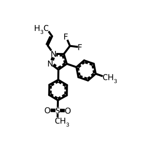 CC=Cn1nc(-c2ccc(S(C)(=O)=O)cc2)c(-c2ccc(C)cc2)c1C(F)F